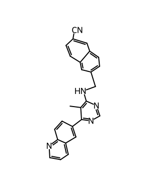 Cc1c(NCc2ccc3cc(C#N)ccc3c2)ncnc1-c1ccc2ncccc2c1